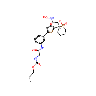 CCCOC(=O)NCC(=O)Nc1cccc(-c2ccc([C@@]3(CC(=O)NO)CCCCS3(=O)=O)s2)c1